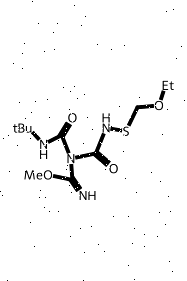 CCOCSNC(=O)N(C(=N)OC)C(=O)NC(C)(C)C